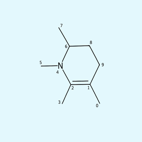 CC1=C(C)N(C)C(C)CC1